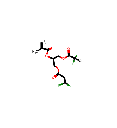 C=C(C)C(=O)OC(COC(=O)CC(F)F)COC(=O)C(C)(F)F